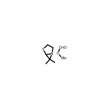 CC(C)(C)OC=O.CC1(C)C2SCCN21